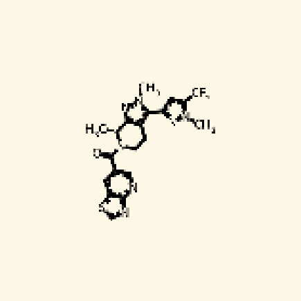 C[C@H]1c2nn(C)c(-c3cc(C(F)(F)F)n(C)n3)c2CCN1C(=O)c1cnc2ncsc2c1